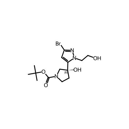 CC(C)(C)OC(=O)N1CC[C@](O)(c2cc(Br)nn2CCO)C1